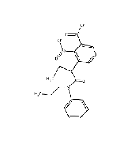 CCCN(C(=O)C(CC)c1cccc([N+](=O)[O-])c1[N+](=O)[O-])c1ccccc1